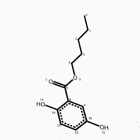 CCCCCOC(=O)c1cc(O)ccc1O